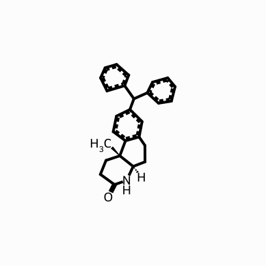 C[C@]12CCC(=O)N[C@@H]1CCc1cc(C(c3ccccc3)c3ccccc3)ccc12